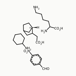 NC1CCCCC1.NCCCCC(N)C(=O)O.O=C(O)CC1CC2CC[C@H]1C2.O=Cc1ccc([N+](=O)[O-])cc1